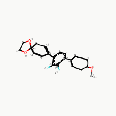 CCCCOC1CCC(c2ccc(C3=CCC4(CC3)OCCO4)c(F)c2F)CC1